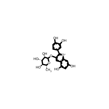 C[C@H]1OC(Oc2cc3c(O)cc(O)cc3[o+]c2-c2ccc(O)c(O)c2)[C@@H](O)[C@@H](O)[C@@H]1O